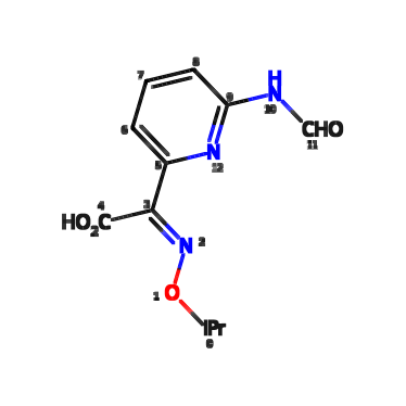 CC(C)ON=C(C(=O)O)c1cccc(NC=O)n1